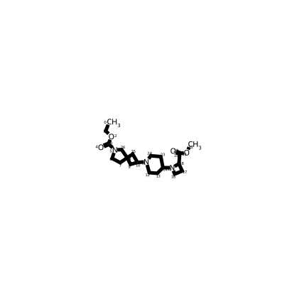 CCOC(=O)N1CCC2(CC(N3CCC(N4CCC4C(=O)OC)CC3)C2)C1